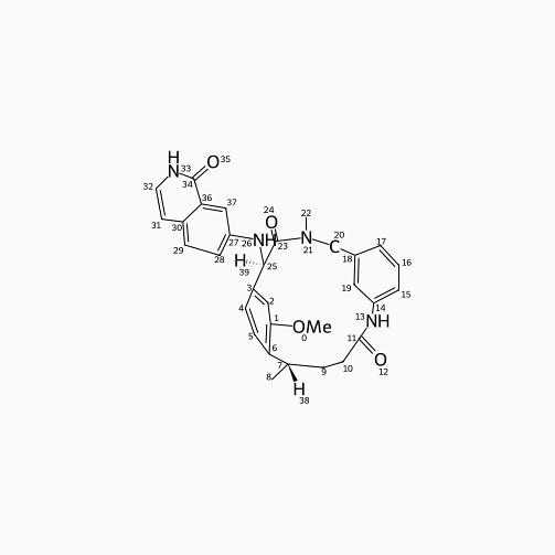 COc1cc2ccc1[C@@H](C)CCC(=O)Nc1cccc(c1)CN(C)C(=O)[C@@H]2Nc1ccc2cc[nH]c(=O)c2c1